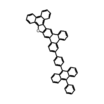 c1ccc(-c2c3ccccc3c(-c3ccc(-c4ccc5c(c4)c4ccccc4c4cc6c(cc54)oc4c5ccccc5c5ccccc5c64)cc3)c3ccccc23)cc1